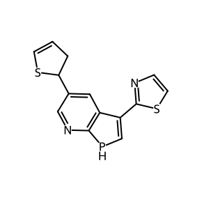 C1=CSC(c2cnc3[pH]cc(-c4nccs4)c3c2)C1